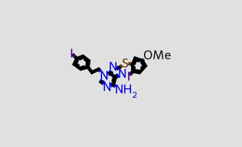 COc1ccc(I)c(Sc2nc3c(N)ncn(CCc4ccc(I)cc4)c-3n2)c1